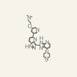 CN(C)CCOc1cncc(-c2ccc3[nH]nc(-c4nc5c(N6CCN(C)CC6)ccnc5[nH]4)c3n2)c1